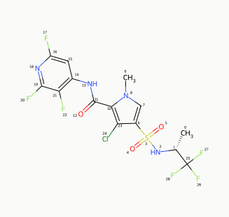 C[C@@H](NS(=O)(=O)c1cn(C)c(C(=O)Nc2cc(F)nc(F)c2F)c1Cl)C(F)(F)F